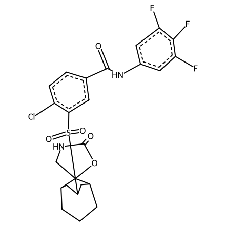 O=C1NCC2(O1)C1CCCC2CC(S(=O)(=O)c2cc(C(=O)Nc3cc(F)c(F)c(F)c3)ccc2Cl)C1